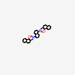 c1ccc2c3c(ccc2c1)CN(c1cccc2c(N4COc5c(ccc6ccccc56)C4)cccc12)CO3